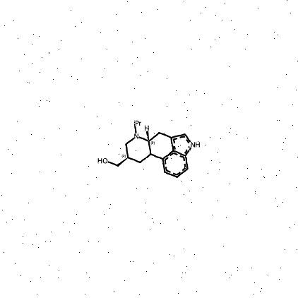 CC(C)N1C[C@H](CO)CC2c3cccc4[nH]cc(c34)C[C@H]21